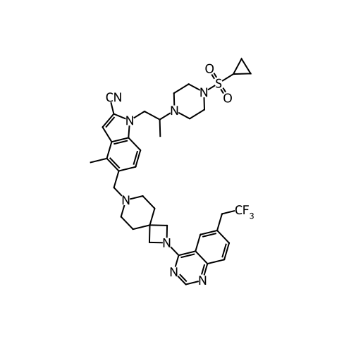 Cc1c(CN2CCC3(CC2)CN(c2ncnc4ccc(CC(F)(F)F)cc24)C3)ccc2c1cc(C#N)n2CC(C)N1CCN(S(=O)(=O)C2CC2)CC1